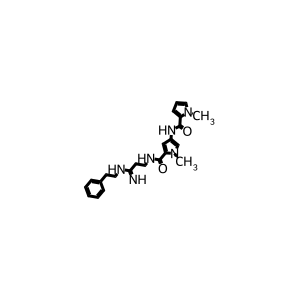 Cn1cc(NC(=O)c2cccn2C)cc1C(=O)NCCC(=N)NCCc1ccccc1